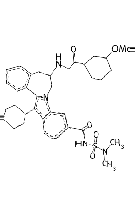 COC1CCCC(C(=O)CNC2Cc3ccccc3-c3c(C4CCCCC4)c4ccc(C(=O)NS(=O)(=O)N(C)C)cc4n3C2)C1